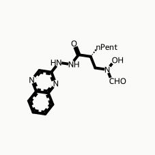 CCCCC[C@H](CN(O)C=O)C(=O)NNc1cnc2ccccc2n1